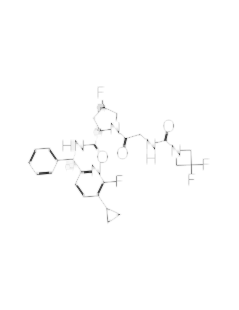 O=C(N[C@@H](c1ccccc1)c1ccc(C2CC2)c(F)n1)[C@@H]1C[C@@H](F)CN1C(=O)CNC(=O)N1CC(F)(F)C1